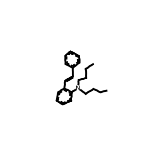 CCCCN(CCCC)c1ccccc1C=Cc1ccccc1